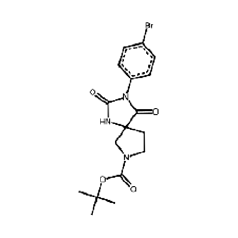 CC(C)(C)OC(=O)N1CCC2(C1)NC(=O)N(c1ccc(Br)cc1)C2=O